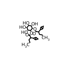 CCCC(C(=O)O[C@H]1[C@H](O)[C@H](O)[C@H](O)[C@@H](O)[C@@H]1OC(=O)C(CCC)C1C2CC21)C1C2CC21